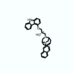 O[C@H](COc1cccc2[nH]c3ccccc3c12)CN1CC2C/C=C\CC1CN2c1ccc2ccccc2c1